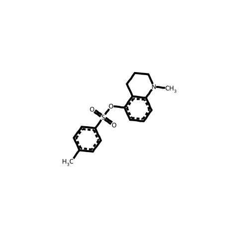 Cc1ccc(S(=O)(=O)Oc2cccc3c2CCCN3C)cc1